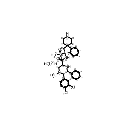 CN(Cc1ccc(Cl)c(Cl)c1)CC(NCc1ccccc1)C(=O)N[N+]1(S(C)(=O)=O)CC2(CCNCC2)c2ccccc21.Cl.Cl